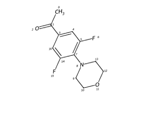 CC(=O)c1cc(F)c(N2CCOCC2)c(F)c1